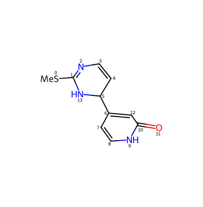 CSC1=NC=CC(c2cc[nH]c(=O)c2)N1